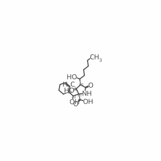 CCCCCC(O)[C@H]1C(=O)N[C@](C(=O)O)([C@@H](O)[C@@H]2C=CCCC2)[C@@]1(C)O